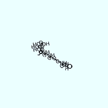 CCc1ccc(O[C@@H]2O[C@H](C(=O)O)[C@@H](O)[C@H](O)[C@H]2O)c(NC(=O)CCNC(=O)CCOCCOCCNC(=O)OCC2[C@H]3CCC#CCC[C@@H]23)c1